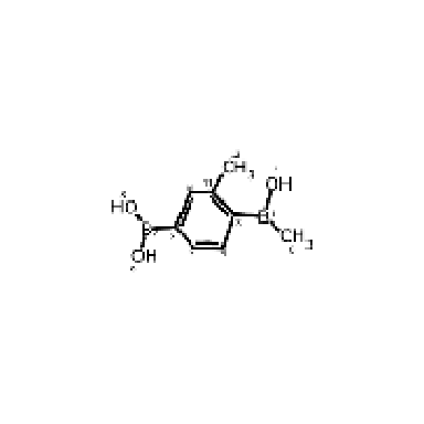 CB(O)c1ccc(B(O)O)cc1C